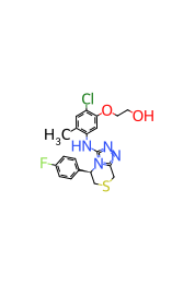 Cc1cc(Cl)c(OCCO)cc1Nc1nnc2n1[C@H](c1ccc(F)cc1)CSC2